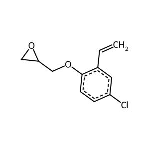 C=Cc1cc(Cl)ccc1OCC1CO1